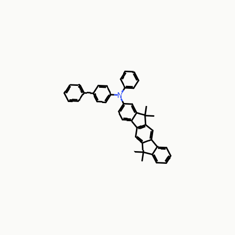 CC1(C)c2ccccc2-c2cc3c(cc21)-c1ccc(N(c2ccccc2)c2ccc(-c4ccccc4)cc2)cc1C3(C)C